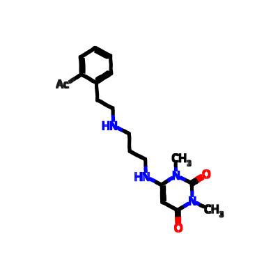 CC(=O)c1ccccc1CCNCCCNc1cc(=O)n(C)c(=O)n1C